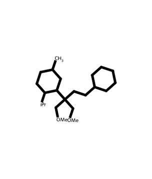 COCC(CCC1CCCCC1)(COC)C1CC(C)CCC1C(C)C